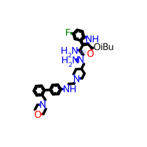 CC(C)COC(=O)c1[nH]c2ccc(F)cc2c1/C(N)=C/N(N)CC1CCN(CCNc2ccc(-c3ccccc3CN3CCOCC3)cc2)CC1